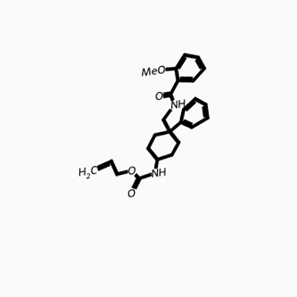 C=CCOC(=O)NC1CCC(CNC(=O)c2ccccc2OC)(c2ccccc2)CC1